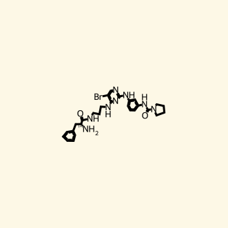 N[C@@H](Cc1ccccc1)C(=O)NCCCNc1nc(Nc2cccc(NC(=O)N3CCCC3)c2)ncc1Br